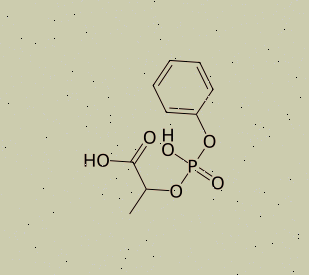 CC(OP(=O)(O)Oc1ccccc1)C(=O)O